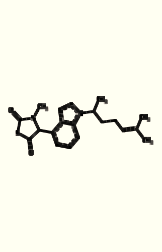 CC(C)=CCCC(C)n1ccc2c(C3C(=O)SC(=O)N3C)cccc21